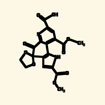 COC(=O)c1cc2c([nH]1)-c1c(C(=O)OC)cc(C(=O)O)nc1C(=O)C21OCCO1